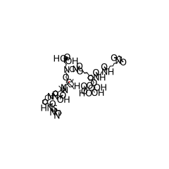 Cc1c(-c2ccc(N3CCc4cccc(C(=O)Nc5nc6ncccc6s5)c4C3)nc2C(=O)O)cnn1CC12CC3(C)CC(C)(C1)CC(OCCN(CCCP(=O)(O)O)C1CCN(C(=O)OC/C=C/c4ccc(O[C@@H]5O[C@H](C(=O)O)[C@@H](O)[C@H](O)[C@H]5O)c(NC(=O)CCNC(=O)CCCCCN5C(=O)C=CC5=O)c4)CC1)(C3)C2